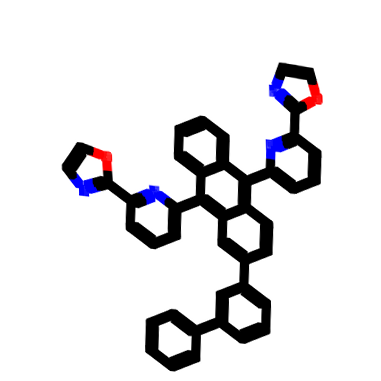 c1ccc(-c2cccc(-c3ccc4c(-c5cccc(-c6ncco6)n5)c5ccccc5c(-c5cccc(-c6ncco6)n5)c4c3)c2)cc1